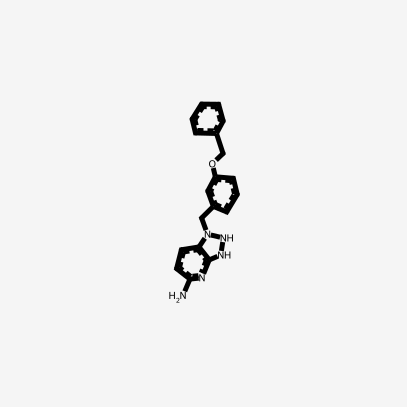 Nc1ccc2c(n1)NNN2Cc1cccc(OCc2ccccc2)c1